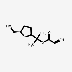 C=CC(=O)OC(C)(C)C1CC[C@H](CO)O1